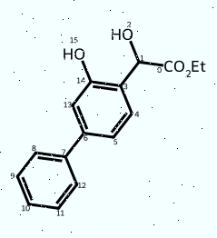 CCOC(=O)C(O)c1ccc(-c2ccccc2)cc1O